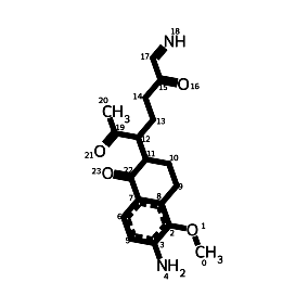 COc1c(N)ccc2c1CCC(C(CCC(=O)C=N)C(C)=O)C2=O